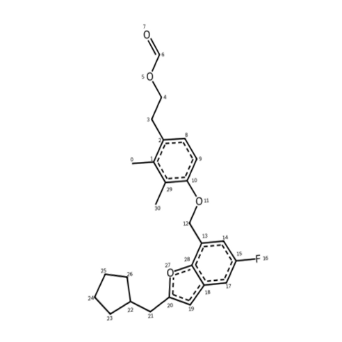 Cc1c(CCOC=O)ccc(OCc2cc(F)cc3cc(CC4CCCC4)oc23)c1C